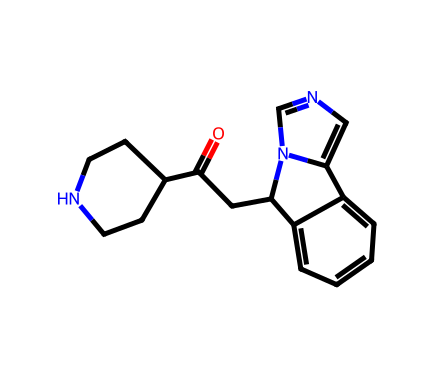 O=C(CC1c2ccccc2-c2cncn21)C1CCNCC1